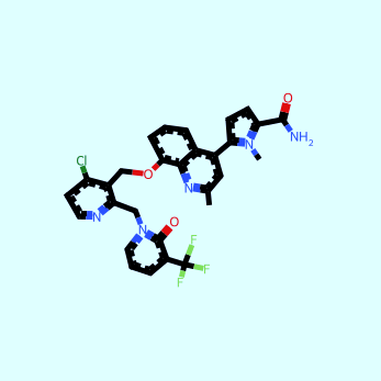 Cc1cc(-c2ccc(C(N)=O)n2C)c2cccc(OCc3c(Cl)ccnc3Cn3cccc(C(F)(F)F)c3=O)c2n1